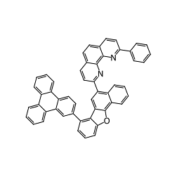 c1ccc(-c2ccc3ccc4ccc(-c5cc6c(oc7cccc(-c8ccc9c%10ccccc%10c%10ccccc%10c9c8)c76)c6ccccc56)nc4c3n2)cc1